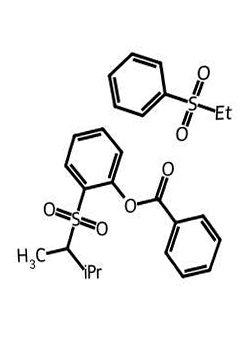 CC(C)C(C)S(=O)(=O)c1ccccc1OC(=O)c1ccccc1.CCS(=O)(=O)c1ccccc1